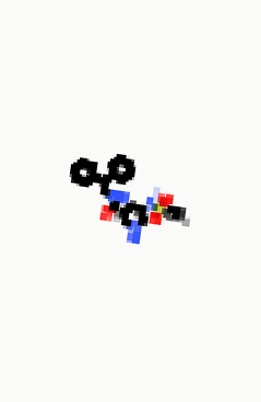 CS(=O)(=O)N[C@H]1CNC[C@@H](C(=O)NCC(c2ccccc2)c2ccccc2)C1